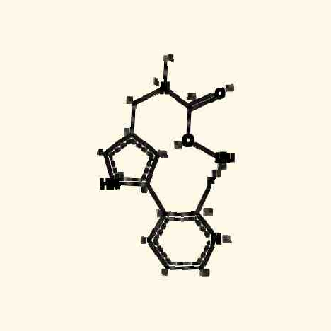 CN(Cc1c[nH]c(-c2cccnc2F)c1)C(=O)OC(C)(C)C